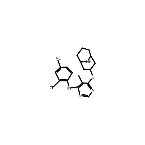 [C-]#[N+]c1ccc(Nc2ncnc(OC3CC4CCCC(C3)N4)c2C)c(Cl)c1